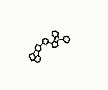 c1ccc(-n2c3ccccc3c3c(-c4cccc(-c5ccc6c(c5)-c5cccc7cccc-6c57)n4)cccc32)cc1